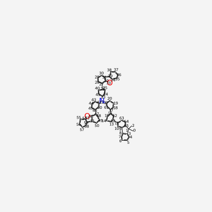 CC1(C)c2ccccc2-c2cc(-c3cccc(-c4cccc(N(c5ccc(-c6cccc7c6oc6ccccc67)cc5)c5cccc(-c6cccc7c6oc6ccccc67)c5)c4)c3)ccc21